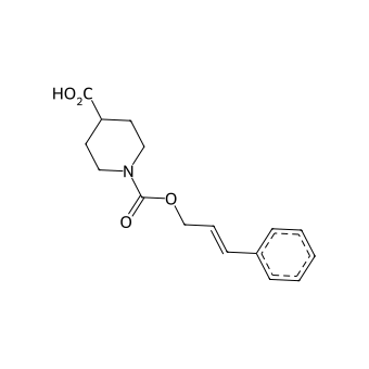 O=C(O)C1CCN(C(=O)OCC=Cc2ccccc2)CC1